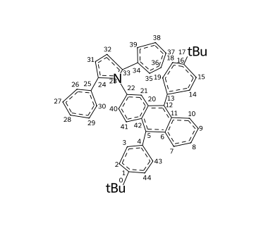 CC(C)(C)c1ccc(-c2c3ccccc3c(-c3ccc(C(C)(C)C)cc3)c3cc(-n4c(-c5ccccc5)ccc4-c4ccccc4)ccc23)cc1